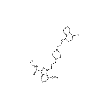 COc1cccc2c(C(=O)NCC(C)C)cn(CCCN3CCN(CCOc4ccc(Cl)c5ccccc45)CC3)c12